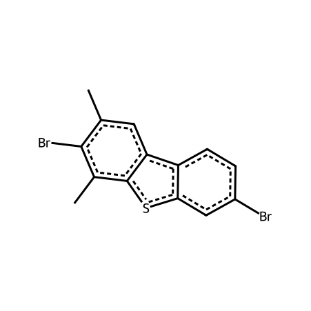 Cc1cc2c(sc3cc(Br)ccc32)c(C)c1Br